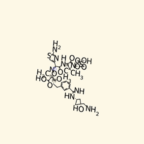 CC1(C)[C@H](NC(=O)/C(=N\O[C@](C)(C(=O)O)[C@H]2CCc3cc(C(=N)N[C@H]4C[C@](O)(CN)C4)ccc3O2)c2csc(N)n2)C(=O)N1OS(=O)(=O)O